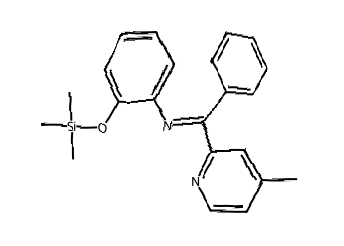 Cc1ccnc(C(=Nc2ccccc2O[Si](C)(C)C)c2ccccc2)c1